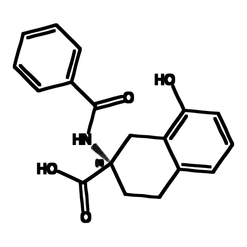 O=C(N[C@@]1(C(=O)O)CCc2cccc(O)c2C1)c1ccccc1